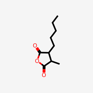 CCCCCC1C(=O)OC(=O)C1C